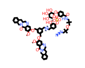 COc1cc2c(cc1OCc1cc(COc3cc4c(cc3OC)C(=O)N3Cc5ccccc5CC3C=N4)cc(C[N+](C)(C)Cc3ccc(OS(=O)(=O)Oc4cc(C(=O)NCC(C)(C)COCC(C)(C)CN=[N+]=[N-])ccc4O[C@@H]4O[C@H](CO)[C@H](O)[C@H](O)[C@H]4O)cc3)c1)N=CC1Cc3ccccc3CN1C2=O